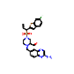 C=CC(c1cc2ccc(Cl)cc2s1)S(=O)(=O)N1CCN(Cc2ccc3nc(N)cnc3c2)C(C=O)C1